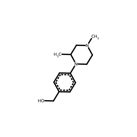 CC1CN(C)CCN1c1ccc(CO)cc1